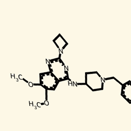 COc1cc2nc(N3CCC3)nc(NC3CCN(Cc4ccccc4)CC3)c2cc1OC